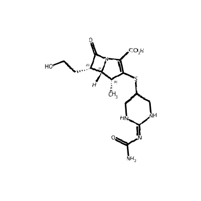 C[C@H]1C(SC2CNC(=NC(N)=O)NC2)=C(C(=O)O)N2C(=O)[C@@H](CCO)[C@@H]12